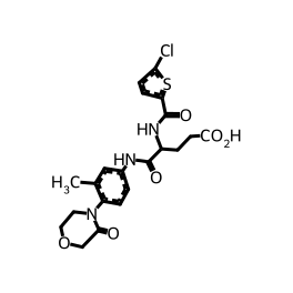 Cc1cc(NC(=O)C(CCC(=O)O)NC(=O)c2ccc(Cl)s2)ccc1N1CCOCC1=O